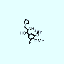 COc1c(F)cc([C@@H](O)[C@H](N)CN2CCCC2)cc1OC(C)C